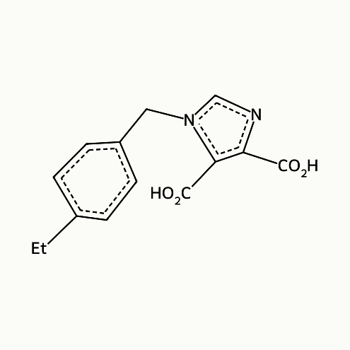 CCc1ccc(Cn2cnc(C(=O)O)c2C(=O)O)cc1